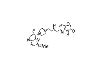 COc1ccc2ncc(F)c(N3CCN(CCNCc4ccc5c(n4)NC(=O)CO5)CC3)c2n1